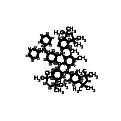 Cc1cc2c3c(c1)N(c1ccc4c(c1C)C(C)(C)CC4(C)C)c1cc(N(c4ccccc4)c4ccccc4)ccc1B3c1cc3c(cc1N2c1cc2c(cc1C)C(C)(C)CC2(C)C)C(C)(C)CCC3(C)C